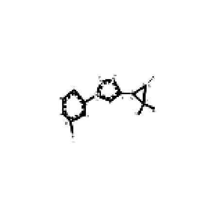 C[C@H]1[C@H](c2cn(-c3cccc(F)c3)nn2)C1(C)C